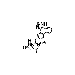 CCCN1C=C(C)N2CC(=O)NN2C1Cc1ccc(-c2ccccc2-c2nnn[nH]2)cc1